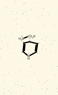 C1=CNC=CC1.NC(=O)O